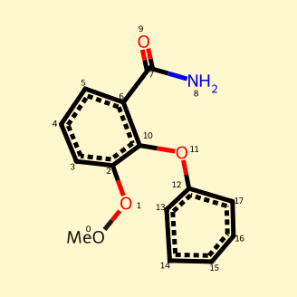 COOc1cccc(C(N)=O)c1Oc1ccccc1